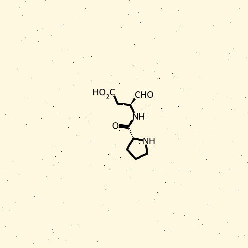 O=C[C@H](CC(=O)O)NC(=O)[C@H]1CCCN1